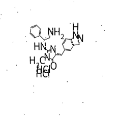 CN1C(=O)/C(=C/c2ccc3[nH]ncc3c2)N=C1NC(CN)c1ccccc1.Cl.Cl